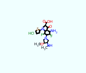 CNC1CN(c2c(F)c(N)c3c(=O)c(C(=O)O)cn(-c4cccs4)c3c2F)CC1OC.Cl